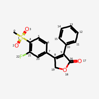 CS(=O)(=O)c1ccc(C2=C(c3ccccc3)C(=O)OC2)cc1F